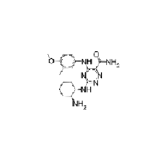 COc1ccc(Nc2nc(N[C@@H]3CCCC[C@@H]3N)nnc2C(N)=O)cc1C